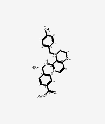 COC(=O)c1ccc([C@H](C)Nc2nccc3c2N(Cc2ccc(C)cc2)CCO3)cc1